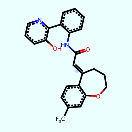 O=C(/C=C1\CCCOc2cc(C(F)(F)F)ccc21)Nc1ccccc1-c1ncccc1O